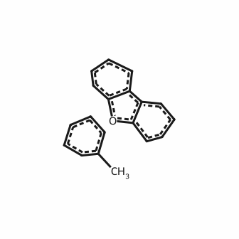 Cc1ccccc1.c1ccc2c(c1)oc1ccccc12